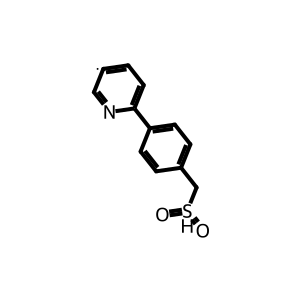 O=[SH](=O)Cc1ccc(-c2cc[c]cn2)cc1